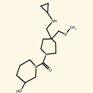 COCC1(CNC2CC2)CCN(C(=O)N2CCCC(O)C2)CC1